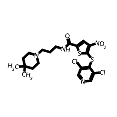 CC1(C)CCN(CCCNC(=O)c2cc([N+](=O)[O-])c(Sc3c(Cl)cncc3Cl)s2)CC1